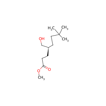 COC(=O)CC[C@@H](CO)CCC(C)(C)C